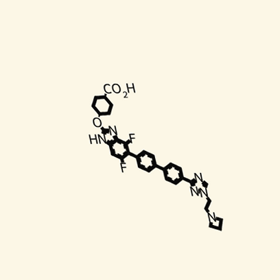 O=C(O)[C@H]1CC[C@H](Oc2nc3c(F)c(-c4ccc(-c5ccc(-c6ncn(CCN7CCC7)n6)cc5)cc4)c(F)cc3[nH]2)CC1